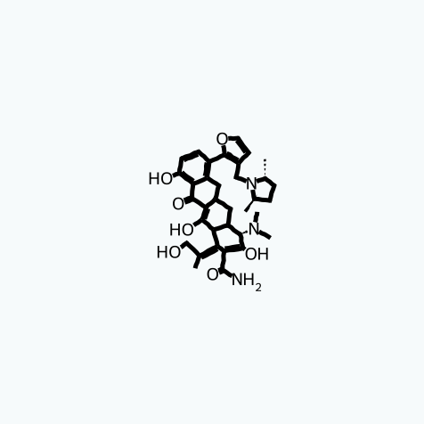 C/C(CO)=C1\C(C(N)=O)=C(O)[C@@H](N(C)C)C2CC3Cc4c(-c5occc5CN5[C@H](C)CC[C@H]5C)ccc(O)c4C(=O)C3=C(O)C12